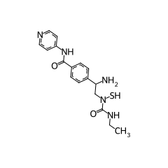 CCNC(=O)N(S)CC(N)c1ccc(C(=O)Nc2ccncc2)cc1